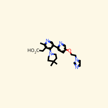 Cc1ncc(-c2ccc(OCCn3ccnc3)cn2)c(N2CCC(C)(C)CC2)c1CC(=O)O